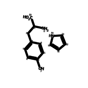 NC(Cc1ccc(O)cc1)C(=O)O.c1cc[nH]c1